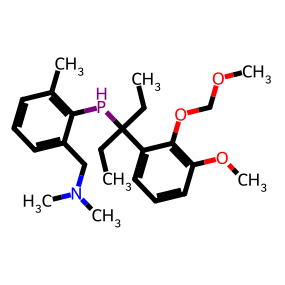 CCC(CC)(Pc1c(C)cccc1CN(C)C)c1cccc(OC)c1OCOC